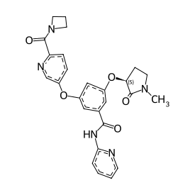 CN1CC[C@H](Oc2cc(Oc3ccc(C(=O)N4CCC4)nc3)cc(C(=O)Nc3ccccn3)c2)C1=O